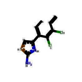 C=C/C(Cl)=C(Cl)\C(=C/C)c1csc(N)n1